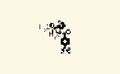 COC(=O)c1sccc1N(C)C(=O)c1ccc([N+](=O)[O-])cc1